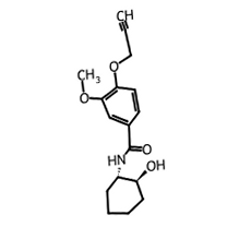 C#CCOc1ccc(C(=O)N[C@H]2CCCC[C@@H]2O)cc1OC